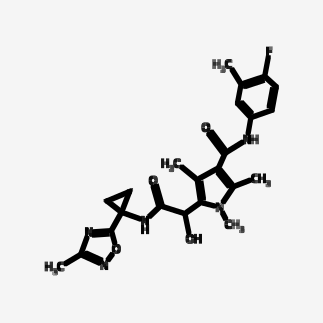 Cc1noc(C2(NC(=O)C(O)c3c(C)c(C(=O)Nc4ccc(F)c(C)c4)c(C)n3C)CC2)n1